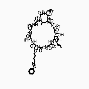 C/C=C/C[C@@H](C)[C@@H](O)[C@@H]1C(=O)N[C@@H](CC)C(=O)N(C)CC(=O)N(C)[C@@H]([C@@H](C)OCCC/C=N/Oc2ccccc2)C(=O)N[C@@H](C(C)C)C(=O)N(C)[C@@H](CC(C)C)C(=O)N[C@@H](C)C(=O)N2C(C)C[C@@H](C(=O)N(C)[C@@H](C(C)C)C(=O)N1C)N(C)C(=O)[C@H](CC(C)C)N(C)C(=O)[C@H]2C